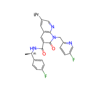 CC(C)c1cnc2c(c1)cc(C(=O)N[C@H](C)c1ccc(F)cc1)c(=O)n2Cc1ccc(F)cn1